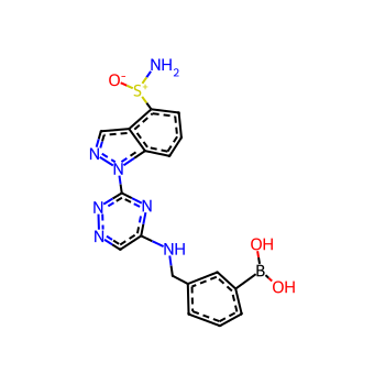 N[S+]([O-])c1cccc2c1cnn2-c1nncc(NCc2cccc(B(O)O)c2)n1